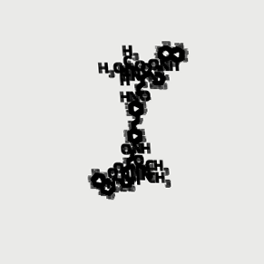 CN[C@@H](C)C(=O)NC(CCC(=O)Nc1ccc(CCc2ccc(NC(=O)CCC(NC(=O)[C@H](C)NC)C(=O)N3CCC[C@H]3C(=O)N3CCCc4ccccc43)cc2)cc1)C(=O)N1CCC[C@H]1C(=O)N[C@@H]1CCCc2ccccc21